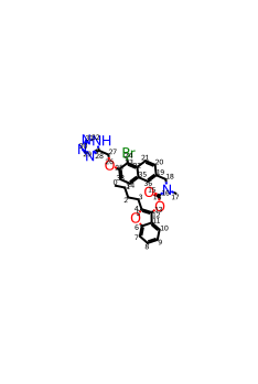 CCCCc1oc2ccccc2c1OC(=O)N(C)Cc1ccc2c(Br)c(OCc3nnn[nH]3)ccc2c1